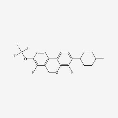 CC1CCC(c2ccc3c(c2F)OCc2c-3ccc(OC(F)(F)F)c2F)CC1